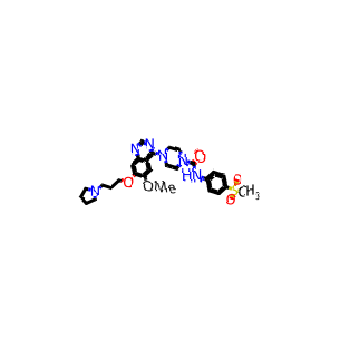 COc1cc2c(N3CCN(C(=O)Nc4ccc(S(C)(=O)=O)cc4)CC3)ncnc2cc1OCCCN1CCCC1